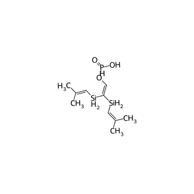 CC(C)=C[SiH2]C(=CO[PH](=O)O)[SiH2]C=C(C)C